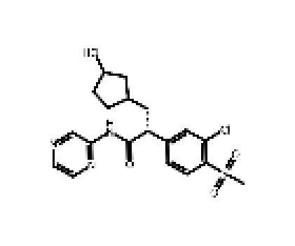 CS(=O)(=O)c1ccc([C@@H](CC2CCC(O)C2)C(=O)Nc2cnccn2)cc1Cl